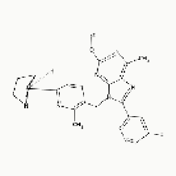 CCOc1nc(C)c2nc(-c3cncc(F)c3)n(Cc3ccc([C@@H]4CN5CCC4CC5)nc3C)c2n1